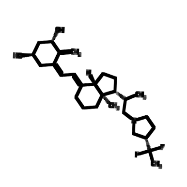 C=C1/C(=C\C=C2/CCC[C@]3(C)[C@@H](C(C)CN4CC[C@H](C(C)(F)F)C4)CC[C@@H]23)C[C@@H](O)C[C@@H]1O